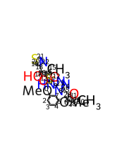 COc1cccc(OC)c1-n1c(NS(=O)(=O)[C@H](C)[C@@H](O)c2cscn2)nnc1-c1ccc(C)o1